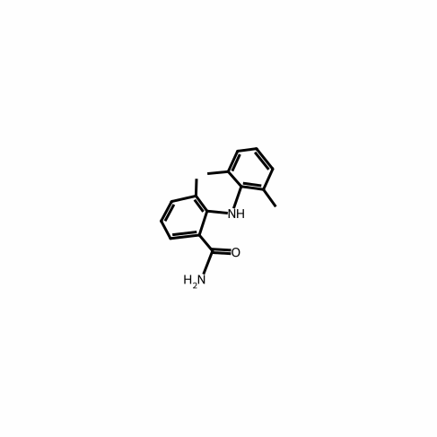 Cc1cccc(C)c1Nc1c(C)cccc1C(N)=O